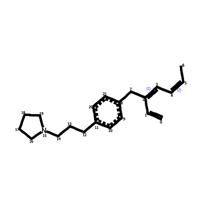 C=C/C(=C\C=C/C)Cc1ccc(CCCN2CCCC2)cc1